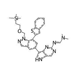 CN(C)/C=N/c1ncc2[nH]cc(-c3cc(-c4cc5ccccc5s4)c4c(cnn4COCC[Si](C)(C)C)c3)c2n1